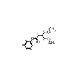 COCC(COC)CC(=O)Oc1ccccc1